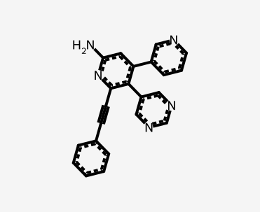 Nc1cc(-c2cccnc2)c(-c2cncnc2)c(C#Cc2ccccc2)n1